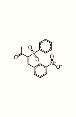 CC(=O)C(=Cc1cccc([N+](=O)[O-])c1)S(=O)(=O)c1ccccc1